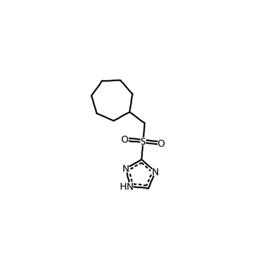 O=S(=O)(CC1CCCCCC1)c1nc[nH]n1